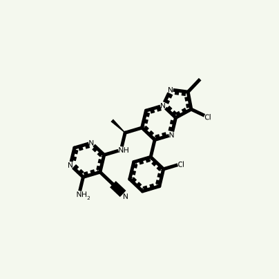 Cc1nn2cc([C@H](C)Nc3ncnc(N)c3C#N)c(-c3ccccc3Cl)nc2c1Cl